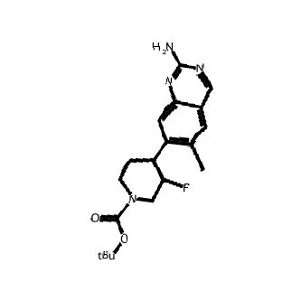 Cc1cc2cnc(N)nc2cc1C1CCN(C(=O)OC(C)(C)C)CC1F